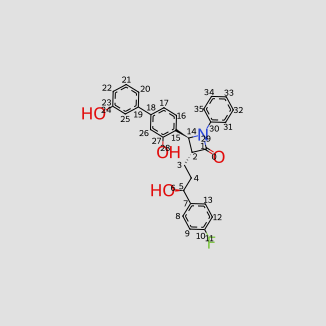 O=C1[C@H](CC[C@H](O)c2ccc(F)cc2)[C@@H](c2ccc(-c3cccc(O)c3)cc2O)N1c1ccccc1